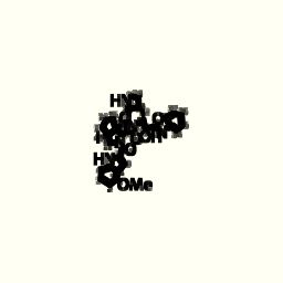 COc1cccc2[nH]c(C(=O)N3C[C@@H]4CCC[C@@H]4[C@H]3C(=O)N[C@@H](C[C@@H]3CCNC3=O)C(O)c3nc4ccccc4o3)cc12